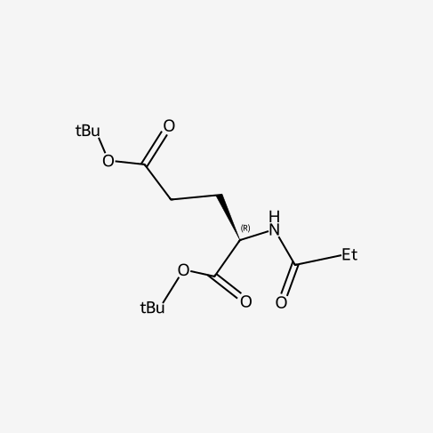 CCC(=O)N[C@H](CCC(=O)OC(C)(C)C)C(=O)OC(C)(C)C